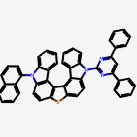 c1ccc(-c2cc(-c3ccccc3)nc(-n3c4ccccc4c4c5c(ccc43)sc3ccc4c(c6ccccc6n4-c4cccc6ccccc46)c35)n2)cc1